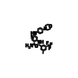 Cc1cc(CNc2cc(Nc3ccc(N4CCOCC4)cc3)ncc2C(N)=O)cc(C(F)(F)F)c1